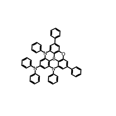 c1ccc(-c2cc3c4c(c2)N(c2ccccc2)c2cc(N(c5ccccc5)c5ccccc5)cc5c2B4c2c(cc(-c4ccccc4)cc2N5c2ccccc2)O3)cc1